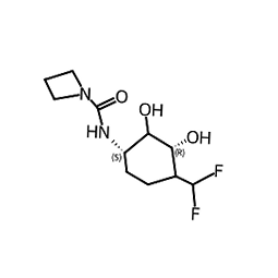 O=C(N[C@H]1CCC(C(F)F)[C@@H](O)C1O)N1CCC1